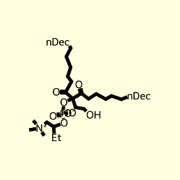 CCCCCCCCCCCCCCCC(=O)C(OP(=O)([O-])OC(CC)C[N+](C)(C)C)(C(=O)CCCCCCCCCCCCCCC)[C@@H](O)CO